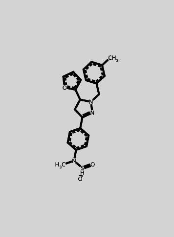 Cc1cccc(CN2N=C(c3ccc(N(C)[SH](=O)=O)cc3)CC2c2ccco2)c1